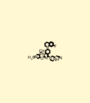 CO[C@@H]1CN(C)C[C@H]1Oc1nc2c(c(N3CCN[C@@H](CC#N)C3)n1)CC[C@@H](N1CCCc3ccc(F)cc31)C2